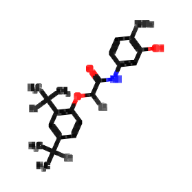 CCC(Oc1ccc(C(C)(C)CC)cc1C(C)(C)CC)C(=O)Nc1ccc(NC(C)=O)c(O)c1